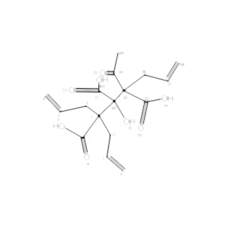 C=CCC(CC=C)(C(=O)O)C(O)(C(=O)O)C(CC=C)(C(C)=O)C(=O)O